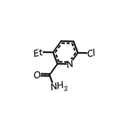 CCc1ccc(Cl)nc1C(N)=O